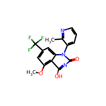 COc1cc(C(F)(F)F)cc2c1c(O)nc(=O)n2-c1cccnc1C